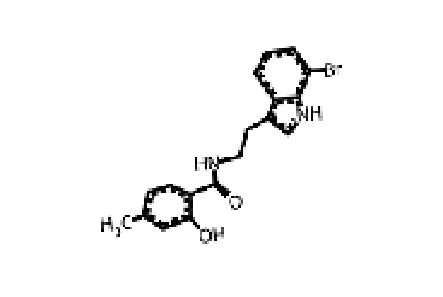 Cc1ccc(C(=O)NCCc2c[nH]c3c(Br)cccc23)c(O)c1